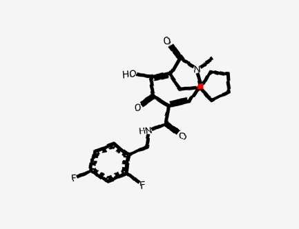 CN1C/C=C(/C(=O)NCc2ccc(F)cc2F)C(=O)/C(O)=C(\CC2CCCC2)C1=O